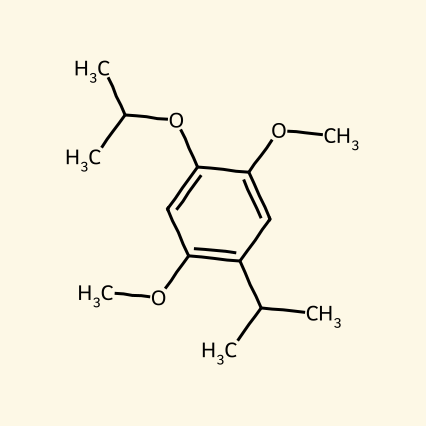 COc1cc(C(C)C)c(OC)cc1OC(C)C